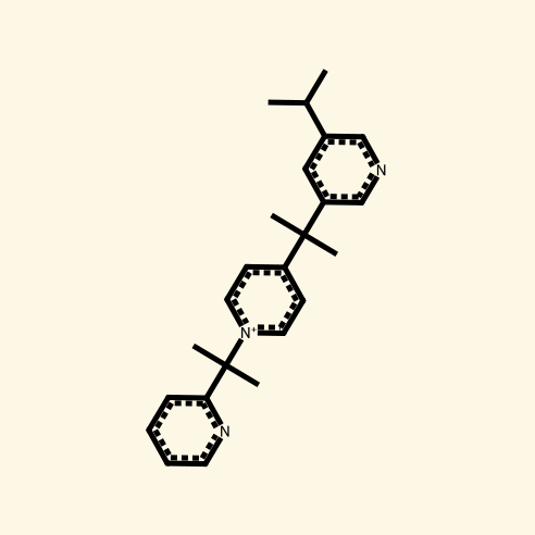 CC(C)c1cncc(C(C)(C)c2cc[n+](C(C)(C)c3ccccn3)cc2)c1